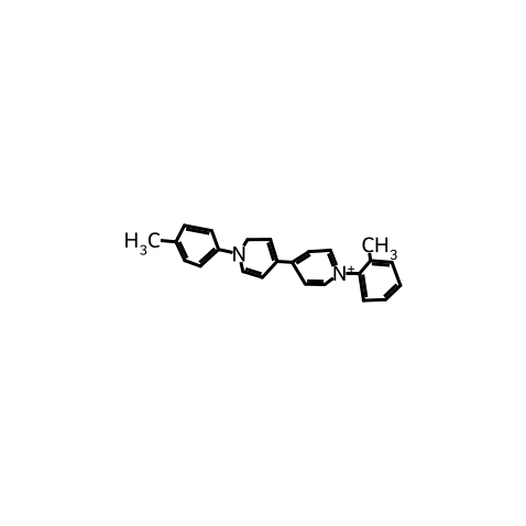 Cc1ccc(N2C=CC(c3cc[n+](-c4ccccc4C)cc3)=CC2)cc1